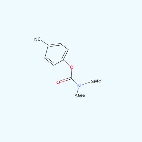 CSN(SC)C(=O)Oc1ccc(C#N)cc1